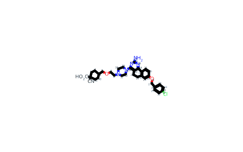 N#CC1(C(=O)O)CCC(COCCN2CCN(c3nc(N)nc4c3CCc3cc(OCc5ccc(Cl)cc5)ccc3-4)CC2)CC1